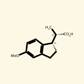 COc1ccc2c(c1)CC[C@H]2[C@H](C)C(=O)O